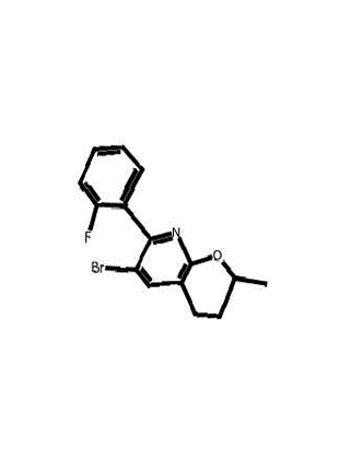 CC1CCc2cc(Br)c(-c3ccccc3F)nc2O1